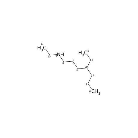 CCCC(CC)CCCNCC